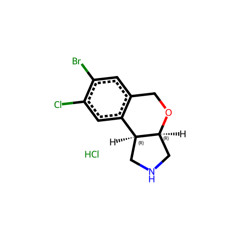 Cl.Clc1cc2c(cc1Br)CO[C@H]1CNC[C@@H]21